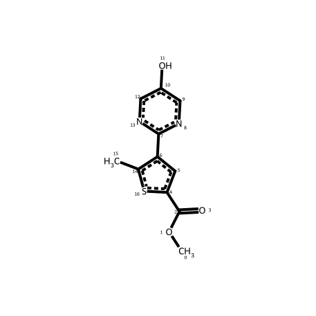 COC(=O)c1cc(-c2ncc(O)cn2)c(C)s1